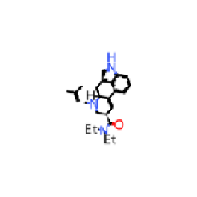 C=C(C)C.CCN(CC)C(=O)[C@@H]1C=C2c3cccc4[nH]cc(c34)C[C@H]2N(C)C1